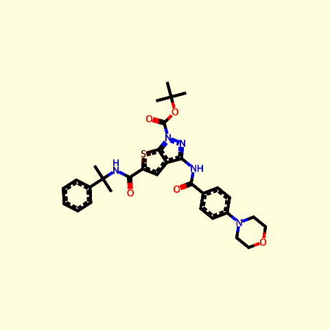 CC(C)(C)OC(=O)n1nc(NC(=O)c2ccc(N3CCOCC3)cc2)c2cc(C(=O)NC(C)(C)c3ccccc3)sc21